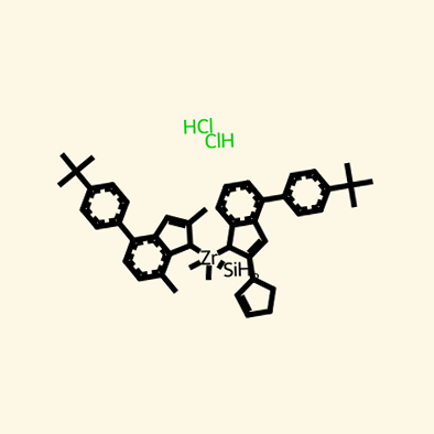 CC1=Cc2c(-c3ccc(C(C)(C)C)cc3)ccc(C)c2[CH]1[Zr]([CH3])([CH3])(=[SiH2])[CH]1C(C2C=CCC2)=Cc2c(-c3ccc(C(C)(C)C)cc3)cccc21.Cl.Cl